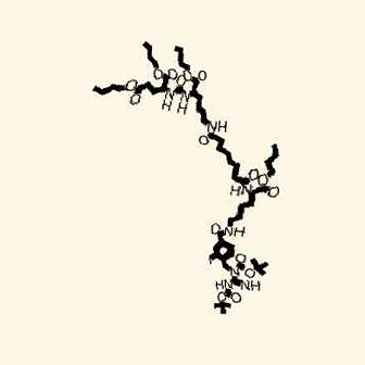 CCCCOC(=O)CCC(NC(=O)NC(CCCCNC(=O)CCCCCCC(=O)NC(CCCCNC(=O)c1ccc(CN(C(=N)NC(=O)OC(C)(C)C)C(=O)OC(C)(C)C)c(I)c1)C(=O)OCCCC)C(=O)OCCCC)C(=O)OCCCC